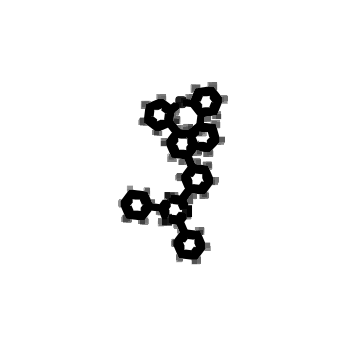 c1ccc(-c2nc(-c3ccccc3)nc(-c3cccc(-c4ccc5c6c(cccc46)-c4ccccc4Oc4ccccc4-5)c3)n2)cc1